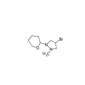 CN1CC(Br)CN1C1CCCCO1